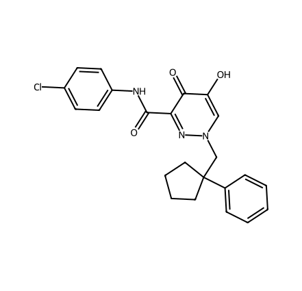 O=C(Nc1ccc(Cl)cc1)c1nn(CC2(c3ccccc3)CCCC2)cc(O)c1=O